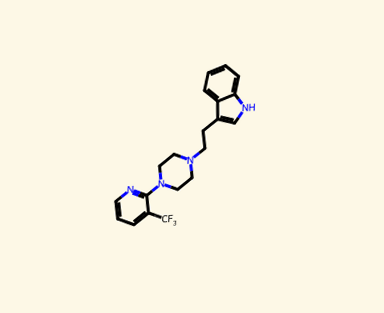 FC(F)(F)c1cccnc1N1CCN(CCc2c[nH]c3ccccc23)CC1